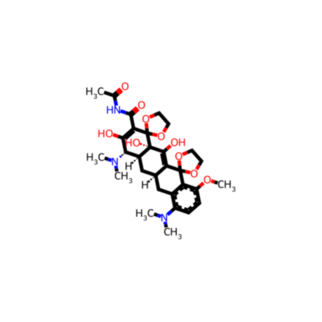 COc1ccc(N(C)C)c2c1C1(OCCO1)C1=C(O)[C@@]3(O)[C@@H](C[C@@H]1C2)[C@H](N(C)C)C(O)=C(C(=O)NC(C)=O)C31OCCO1